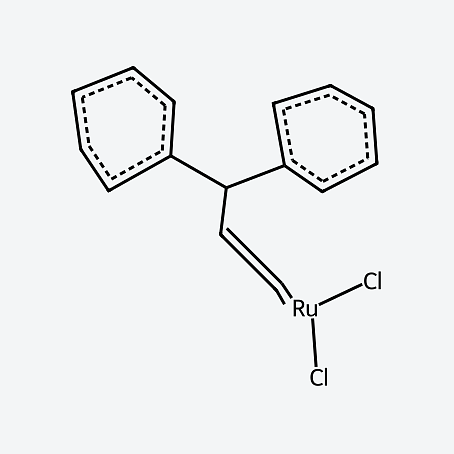 [Cl][Ru]([Cl])=[C]=CC(c1ccccc1)c1ccccc1